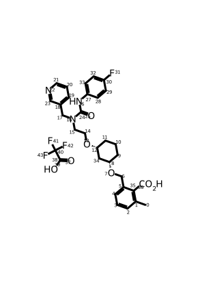 Cc1cccc(CO[C@H]2CCC[C@@H](OCCN(Cc3cccnc3)C(=O)Nc3ccc(F)cc3)C2)c1C(=O)O.O=C(O)C(F)(F)F